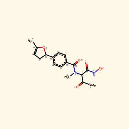 CNC(=O)C(C(=O)NO)N(C)C(=O)c1ccc(C2CC=C(C)O2)cc1